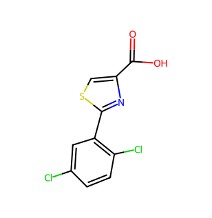 O=C(O)c1csc(-c2cc(Cl)ccc2Cl)n1